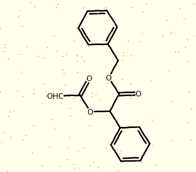 O=[C]C(=O)OC(C(=O)OCc1ccccc1)c1ccccc1